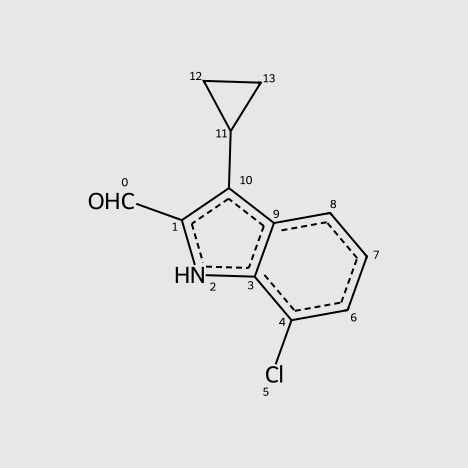 O=Cc1[nH]c2c(Cl)cccc2c1C1CC1